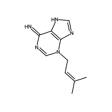 CC(C)=CCn1cnc(=N)c2[nH]cnc21